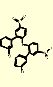 O=[N+]([O-])c1ccc(Sc2ccc([N+](=O)[O-])cc2-c2cccc(Cl)c2)c(-c2cccc(Cl)c2)c1